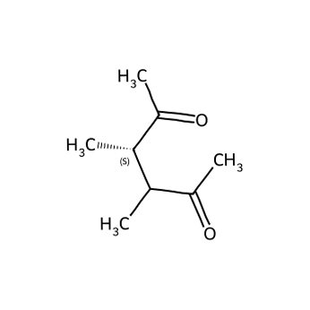 CC(=O)C(C)[C@H](C)C(C)=O